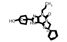 CCCN1C(=O)N2C[C@@H](c3ccccc3)N=C2c2[nH]c(C34CCC(O)(CC3)CC4)nc21